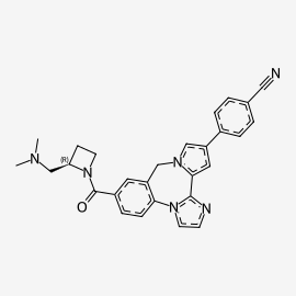 CN(C)C[C@H]1CCN1C(=O)c1ccc2c(c1)Cn1cc(-c3ccc(C#N)cc3)cc1-c1nccn1-2